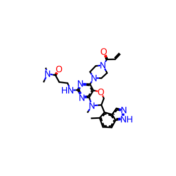 C=CC(=O)N1CCN(c2nc(NCCC(=O)N(C)C)nc3c2OCC(c2c(C)ccc4[nH]ncc24)N3C)CC1